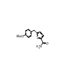 COc1ccc(Cc2ccc(C(N)=O)s2)cc1